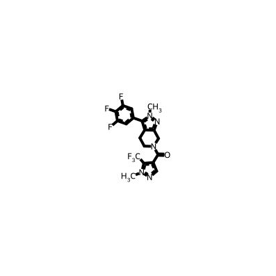 Cn1nc2c(c1-c1cc(F)c(F)c(F)c1)CCN(C(=O)c1cnn(C)c1C(F)(F)F)C2